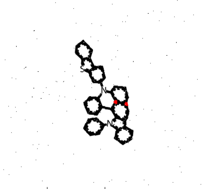 c1ccc(N(c2ccc3c(c2)sc2ccccc23)c2ccccc2-c2cccc3c4ccccc4n(-c4ccccc4)c23)cc1